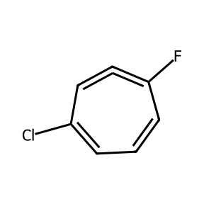 FC1=C=CC(Cl)=CC=C1